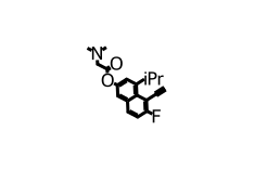 C#Cc1c(F)ccc2cc(OC(=O)CN(C)C)cc(C(C)C)c12